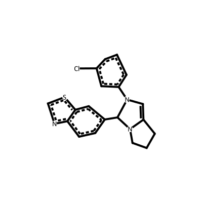 Clc1cccc(N2C=C3CCCN3C2c2ccc3ncsc3c2)c1